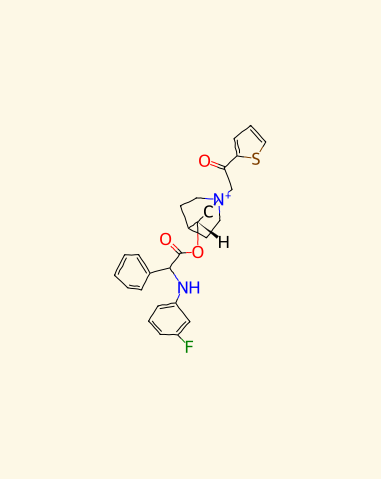 O=C(C[N+]12CCC(CC1)[C@@H](OC(=O)C(Nc1cccc(F)c1)c1ccccc1)C2)c1cccs1